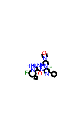 NC(N)C(C(=O)NC1C=NC(C2CCCCC2)C(F)C1N1CCC(N2CCOCC2)CC1)C1CC2(CCC2)CCC(F)CN1